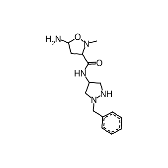 CN1OC(N)CC1C(=O)NC1CNN(Cc2ccccc2)C1